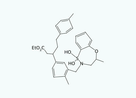 CCOC(=O)CC(CCc1ccc(C)cc1)c1ccc(C)c(CN2CC(C)Oc3ccccc3S2(O)O)c1